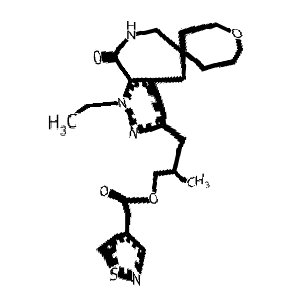 CCn1nc(CC(C)COC(=O)c2cnsc2)c2c1C(=O)NCC1(CCOCC1)C2